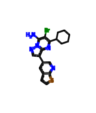 Nc1c(Br)c(C2CCCCC2)nc2c(-c3cnc4sccc4c3)cnn12